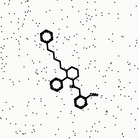 COc1ccccc1CNC1CCCN(CCCCCc2ccccc2)C1c1ccccc1